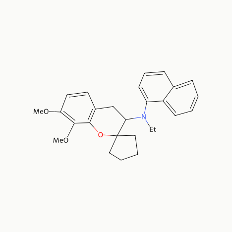 CCN(c1cccc2ccccc12)C1Cc2ccc(OC)c(OC)c2OC12CCCC2